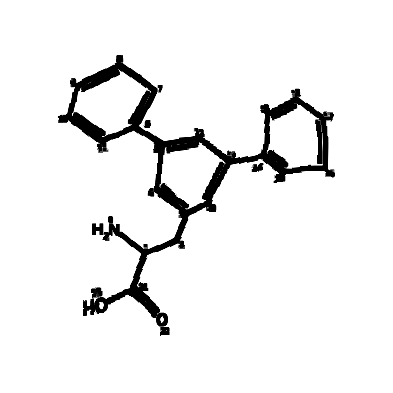 NC(Cc1cc(-c2ccccc2)cc(-c2ccccc2)c1)C(=O)O